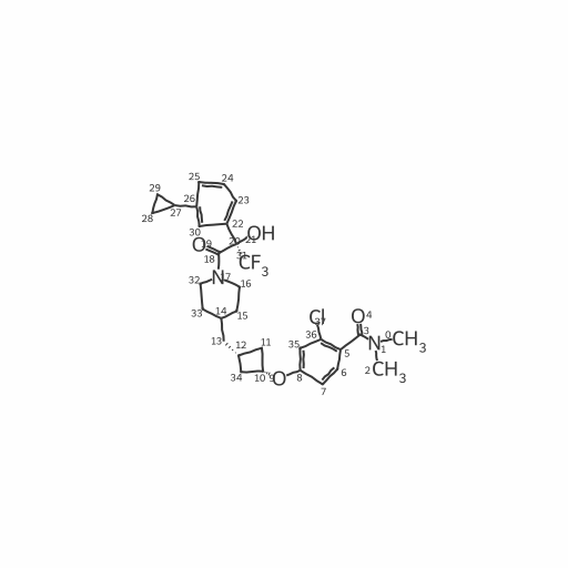 CN(C)C(=O)c1ccc(O[C@H]2C[C@@H](CC3CCN(C(=O)[C@](O)(c4cccc(C5CC5)c4)C(F)(F)F)CC3)C2)cc1Cl